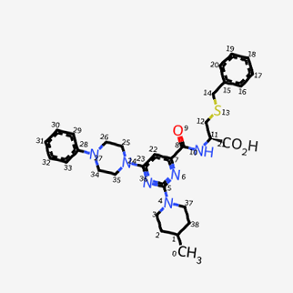 CC1CCN(c2nc(C(=O)N[C@@H](CSCc3ccccc3)C(=O)O)cc(N3CCN(c4ccccc4)CC3)n2)CC1